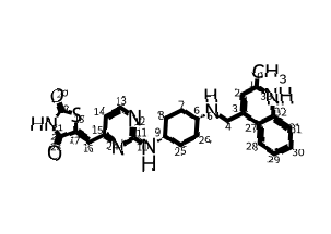 CC1C=C(CN[C@H]2CC[C@@H](Nc3nccc(/C=C4\SC(=O)NC4=O)n3)CC2)c2ccccc2N1